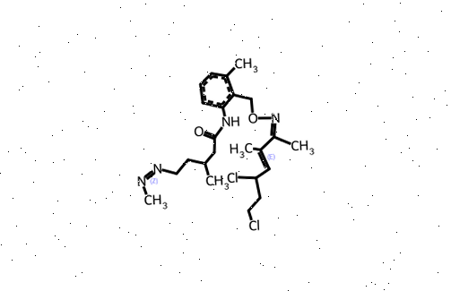 C/N=N\CCC(C)CC(=O)Nc1cccc(C)c1CON=C(C)/C(C)=C/C(Cl)CCCl